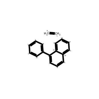 C=C.c1ccc(-c2cccc3ccccc23)cc1